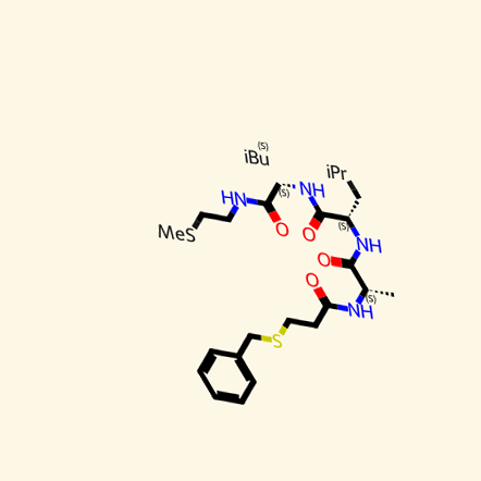 CC[C@H](C)[C@H](NC(=O)[C@H](CC(C)C)NC(=O)[C@H](C)NC(=O)CCSCc1ccccc1)C(=O)NCCSC